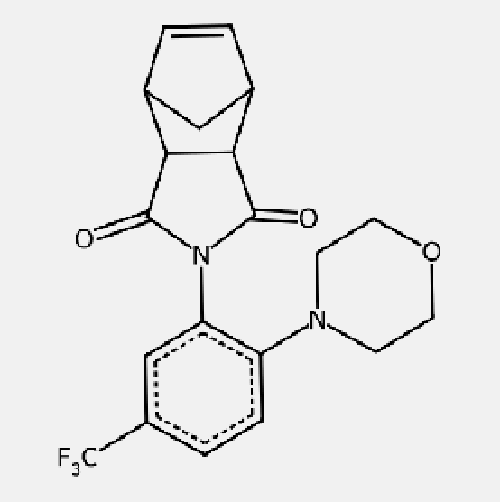 O=C1C2C3C=CC(C3)C2C(=O)N1c1cc(C(F)(F)F)ccc1N1CCOCC1